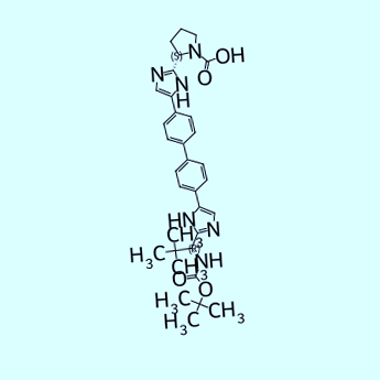 CC(C)(C)OC(=O)N[C@@H](c1ncc(-c2ccc(-c3ccc(-c4cnc([C@@H]5CCCN5C(=O)O)[nH]4)cc3)cc2)[nH]1)C(C)(C)C